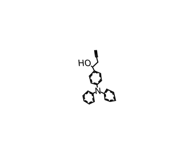 C#CCC(O)c1ccc(N(c2ccccc2)c2ccccc2)cc1